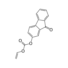 C=COC(=O)Oc1ccc2c(c1)C(=O)c1ccccc1-2